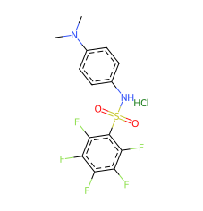 CN(C)c1ccc(NS(=O)(=O)c2c(F)c(F)c(F)c(F)c2F)cc1.Cl